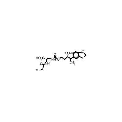 CC(SCCOC(=O)NC[C@H](NC(=O)OC(C)(C)C)C(=O)O)c1cc2c(cc1[N+](=O)[O-])OCO2